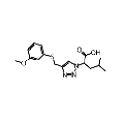 COc1cccc(SCc2cn(C(CC(C)C)C(=O)O)nn2)c1